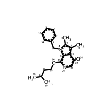 Cc1c(C)n(Cc2ccccc2)c2c(OCCC(C)C)nccc12.Cl